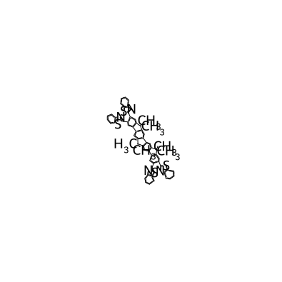 CC1(C)c2cc(-c3nc4ccccc4s3)c(-c3nc4ccccc4s3)cc2-c2cc3c(cc21)-c1cc2c(cc1C3(C)C)-c1cc(-c3nc4ccccc4s3)c(-c3nc4ccccc4s3)cc1C2(C)C